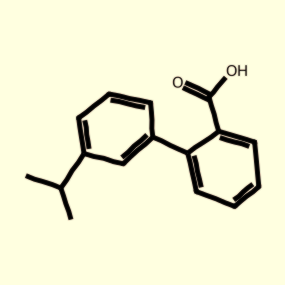 CC(C)c1cccc(-c2ccccc2C(=O)O)c1